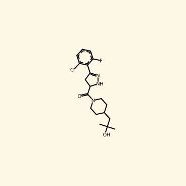 CC(C)(O)CC1CCN(C(=O)C2CC(c3c(F)cccc3Cl)=NN2)CC1